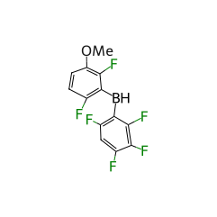 COc1ccc(F)c(Bc2c(F)cc(F)c(F)c2F)c1F